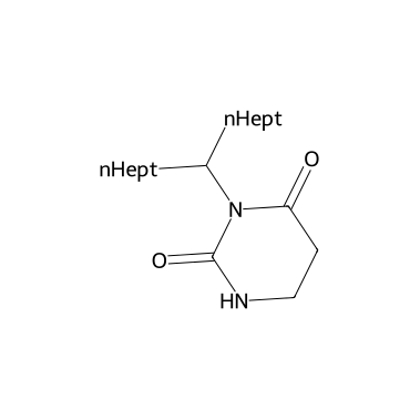 CCCCCCCC(CCCCCCC)N1C(=O)CCNC1=O